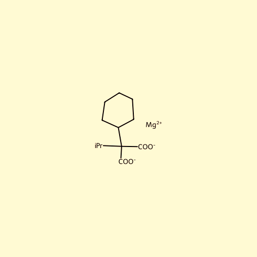 CC(C)C(C(=O)[O-])(C(=O)[O-])C1CCCCC1.[Mg+2]